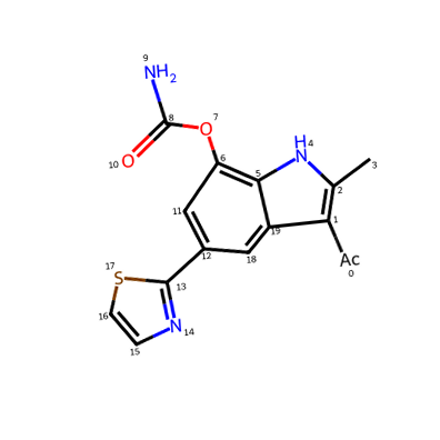 CC(=O)c1c(C)[nH]c2c(OC(N)=O)cc(-c3nccs3)cc12